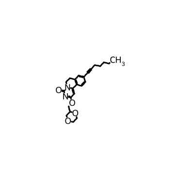 CCCCCC#Cc1ccc2c(c1)CCn1c-2cc(OCC2COCCO2)nc1=O